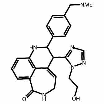 CNCc1ccc(C2Nc3cccc4c3C(=CCNC4=O)C2c2ncnn2CCO)cc1